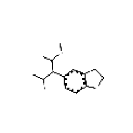 CCNC(C)C(c1ccc2c(c1)CCS2)C(Cl)Cl